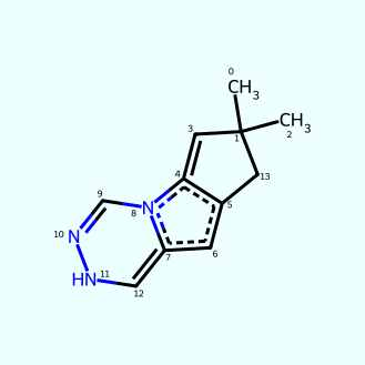 CC1(C)C=c2c(cc3n2C=NNC=3)C1